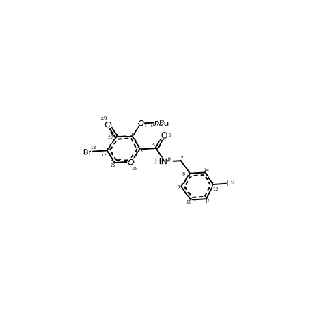 CCCCOc1c(C(=O)NCc2cccc(I)c2)occ(Br)c1=O